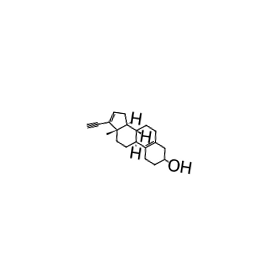 C#CC1=CC[C@H]2[C@@H]3CCC4=C(CCC(O)C4)[C@H]3CC[C@]12C